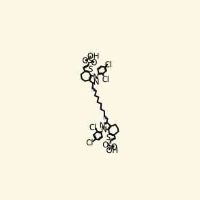 O=S(=O)(O)c1cc2c(s1)-c1c(c(/C=C/CCCCCC/C=C/c3nn(-c4ccc(Cl)cc4Cl)c4c3CCCc3cc(S(=O)(=O)O)sc3-4)nn1-c1ccc(Cl)cc1Cl)CCC2